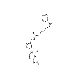 CN(CCCCCC(=O)OCC1OC(n2ccc(N)nc2=O)CS1)c1ccccc1